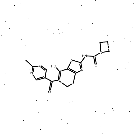 Cc1ccc(C(=O)C2=C(O)c3sc(NC(=O)N4CCC4)nc3CC2)cn1